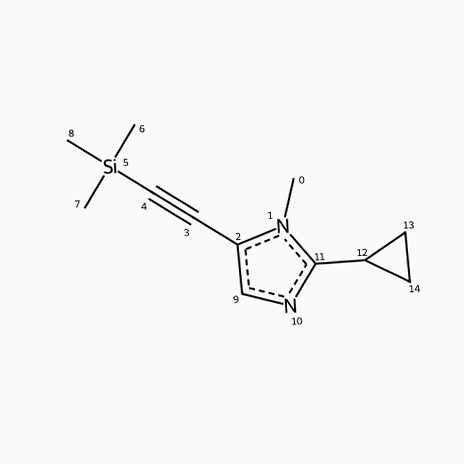 Cn1c(C#C[Si](C)(C)C)cnc1C1CC1